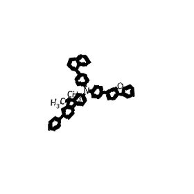 CC1(C)c2cc(-c3ccccc3)ccc2-c2ccc(N(c3ccc(-c4ccc5c(c4)oc4ccccc45)cc3)c3ccc(-c4cccc5ccccc45)cc3)cc21